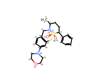 CC1CCC(c2ccccc2)S(=O)(=O)N1Cc1ccc(N2CCOCC2)cc1F